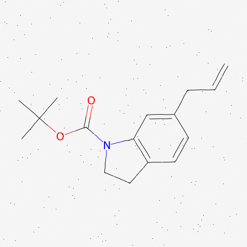 C=CCc1ccc2c(c1)N(C(=O)OC(C)(C)C)CC2